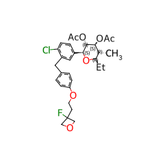 CC[C@H]1O[C@@H](c2ccc(Cl)c(Cc3ccc(OCCC4(F)COC4)cc3)c2)[C@H](OC(C)=O)[C@@H](OC(C)=O)[C@@H]1C